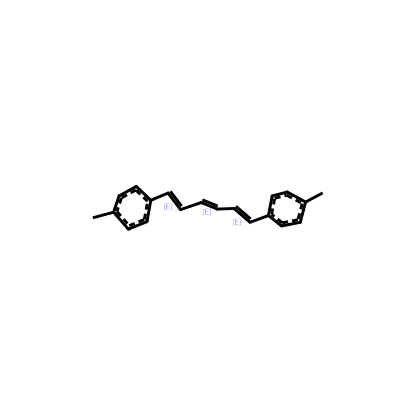 Cc1ccc(/C=C/C=C/C=C/c2ccc(C)cc2)cc1